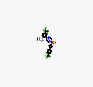 Cc1ccc(C(F)(F)F)cc1N1CCN(C(=O)[C@H]2C[C@@H](c3ccc(C(F)(F)F)cc3)C2)CC1